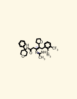 C/C(N)=N/C(CC(=O)NC1(c2ccccc2)CCOCC1)=C(\Cc1cccc(C(F)(F)F)c1C)C1CCCO1